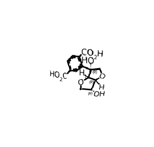 O=C(O)c1ccc(C(=O)O)c([C@@]2(O)CO[C@@H]3[C@H](O)CO[C@@H]32)c1